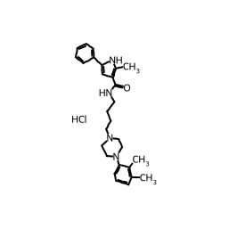 Cc1cccc(N2CCN(CCCCNC(=O)c3cc(-c4ccccc4)[nH]c3C)CC2)c1C.Cl